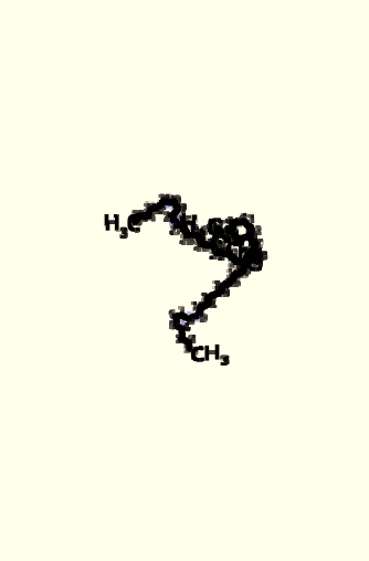 CCCCC/C=C\C/C=C\CCCCCCCCC1(CCCCCCCC/C=C\C/C=C\CCCCC)OCC(CC2CCCC(N(C)C)C2)O1